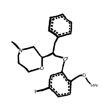 CCCOc1ccc(I)cc1OC(c1ccccc1)C1CN(C)CCO1